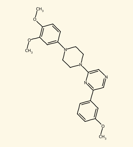 COc1cccc(-c2cncc(N3CCN(c4ccc(OC)c(OC)c4)CC3)n2)c1